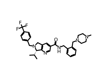 CC(C)[C@H]1c2ncc(C(=O)NCc3ccccc3CN3CCN(C)CC3)cc2CN1Cc1ccc(C(F)(F)F)cc1